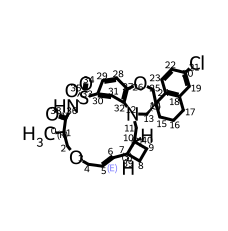 C[C@@H]1COC/C=C/[C@@H]2CC[C@H]2CN2C[C@@]3(CCCc4cc(Cl)ccc43)COc3ccc(cc32)S(=O)(=O)NC1=O